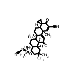 CC1(C)CC[C@]2(NS(C)(=O)=NC#N)CC[C@]3(C)[C@H](C(=O)C=C4[C@@]5(C)C=C(C#N)C(=O)C6(CC6)[C@@H]5CC[C@]43C)[C@@H]2C1